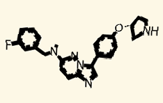 CN(Cc1cccc(F)c1)c1ccc2ncc(-c3ccc(O[C@@H]4CCNC4)cc3)n2n1